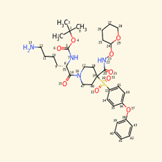 CC(C)(C)OC(=O)N[C@@H](CCCCN)C(=O)N1CCC(C(=O)NOC2CCCCO2)(S(=O)(=O)c2ccc(Oc3ccccc3)cc2)CC1